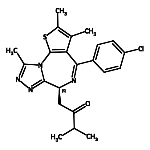 Cc1sc2c(c1C)C(c1ccc(Cl)cc1)=N[C@@H](CC(=O)C(C)C)c1nnc(C)n1-2